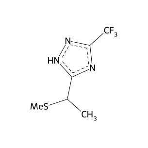 CSC(C)c1nc(C(F)(F)F)n[nH]1